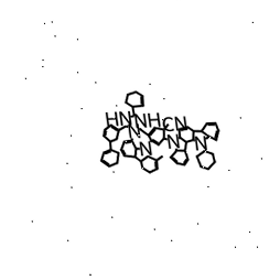 CC1=CCCC2C3C=CC=C4C3N(C3=CC(N5C6C=CC=CC6C6C5C=CC5C7C=CC=CC7N(C7CCCCC7)C56)C(C#N)C=C3C3NC(C5C=CCCC5)NC(C5=CC=CC(C6=CC=CCC6)C5)N43)C12